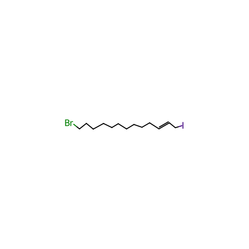 BrCCCCCCCCCCC=CCI